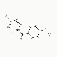 CC(C)CN1CCC(C(=O)c2ccc(Cl)cc2)CC1